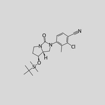 Cc1c(N2C[C@@H]3[C@@H](O[Si](C)(C)C(C)(C)C)CCN3C2=O)ccc(C#N)c1Cl